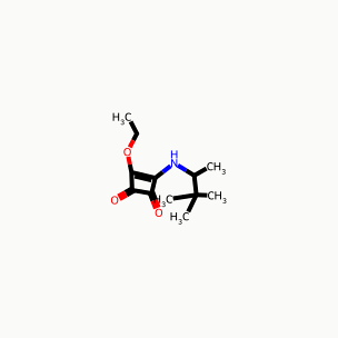 CCOc1c(NC(C)C(C)(C)C)c(=O)c1=O